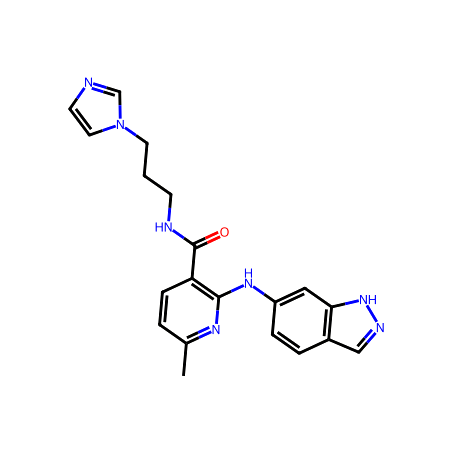 Cc1ccc(C(=O)NCCCn2ccnc2)c(Nc2ccc3cn[nH]c3c2)n1